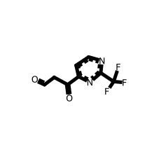 O=CCC(=O)c1ccnc(C(F)(F)F)n1